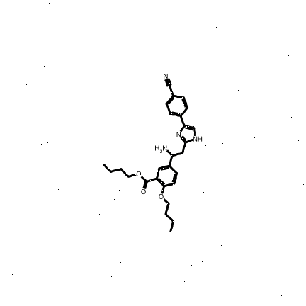 CCCCOC(=O)c1cc(C(N)Cc2nc(-c3ccc(C#N)cc3)c[nH]2)ccc1OCCCC